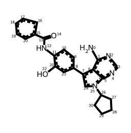 Nc1ncnc2c1c(-c1ccc(NC(=O)c3ccccc3)c(O)c1)cn2C1CCCC1